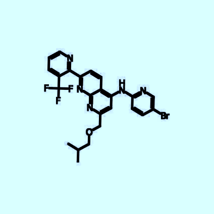 CC(C)COCc1cc(Nc2ccc(Br)cn2)c2ccc(-c3ncccc3C(F)(F)F)nc2n1